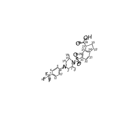 CC1CN(c2ccc(C(F)(F)F)cc2)CC(C)N1S(=O)(=O)c1ccc2c(c1)C(C(=O)O)CC2